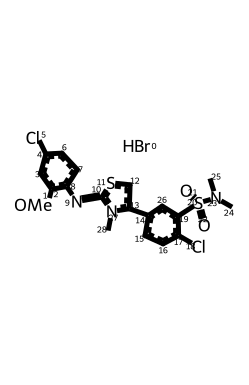 Br.COc1cc(Cl)ccc1N=c1scc(-c2ccc(Cl)c(S(=O)(=O)N(C)C)c2)n1C